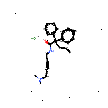 C=CCC(C(=O)NCC#CCN(C)C)(c1ccccc1)c1ccccc1.Cl